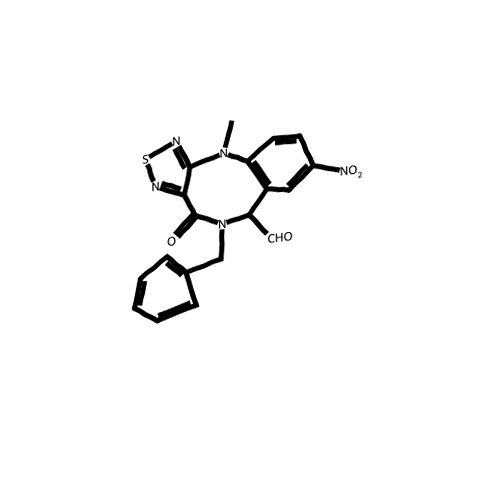 CN1c2ccc([N+](=O)[O-])cc2C(C=O)N(Cc2ccccc2)C(=O)c2nsnc21